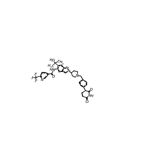 CC(C)(O)c1cc2nn(C3CCN(Cc4ccc(C5CCC(=O)NC5=O)cc4)CC3)cc2cc1NC(=O)c1ccc(C(F)(F)F)nc1